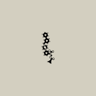 O=C(OCn1c(=O)oc2c(N3CCN(Cc4cccc(-c5ccccc5)c4)CC3)cccc21)C1CC1